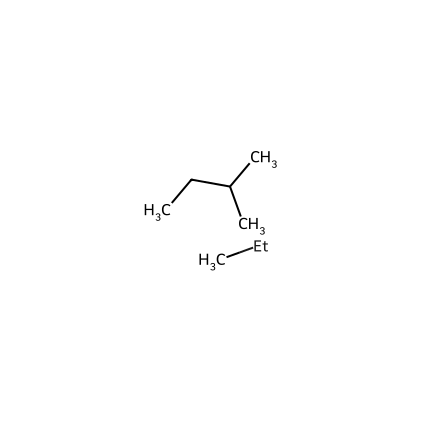 CCC.CCC(C)C